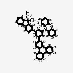 CC1(C)c2ccccc2-c2ccc(-c3cc(-c4ccc5c6ccccc6c6ccccc6c5c4)cc(N4c5ccccc5Sc5ccccc54)c3)cc21